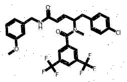 COc1cccc(CNC(=O)C=CC(Cc2ccc(Cl)cc2)N(C)C(=O)c2cc(C(F)(F)F)cc(C(F)(F)F)c2)c1